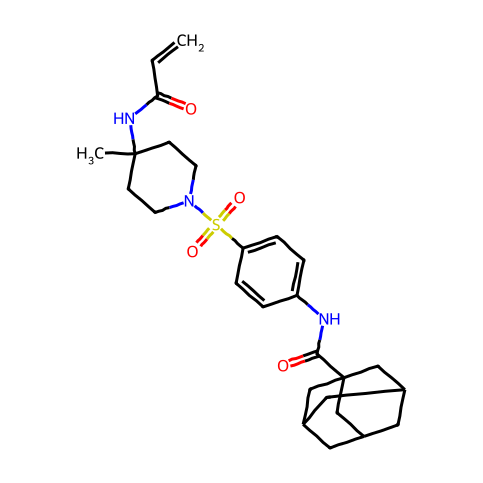 C=CC(=O)NC1(C)CCN(S(=O)(=O)c2ccc(NC(=O)C34CC5CC(CC(C5)C3)C4)cc2)CC1